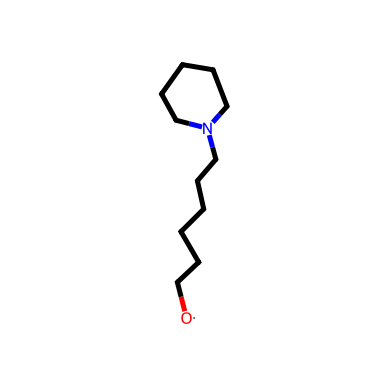 [O]CCCCCCN1CCCCC1